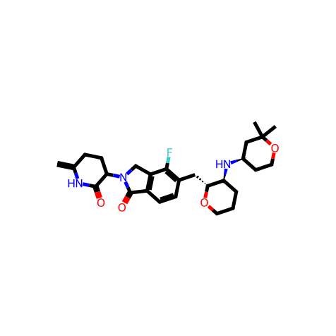 C=C1CCC(N2Cc3c(ccc(C[C@H]4OCCC[C@@H]4N[C@@H]4CCOC(C)(C)C4)c3F)C2=O)C(=O)N1